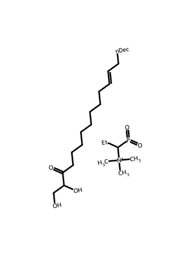 CCC(P(=O)=O)[N+](C)(C)C.CCCCCCCCCCCC=CCCCCCCCCC(=O)C(O)CO